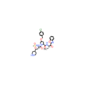 CS(=O)(=O)N[C@H](CCC1CCNCC1)C(=O)N1C[C@H](OCc2ccc(Cl)cc2)C[C@H]1C(=O)N[C@@H](CC#N)C(=O)c1nc2ccccc2o1